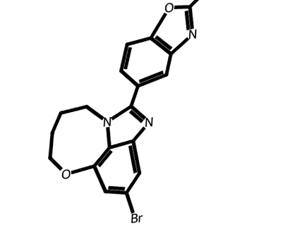 Nc1nc2cc(-c3nc4cc(Br)cc5c4n3CCCCO5)ccc2o1